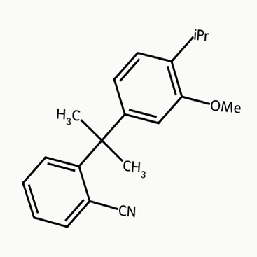 COc1cc(C(C)(C)c2ccccc2C#N)ccc1C(C)C